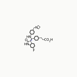 O=C(O)CCc1ccc(/C(Nc2ccc(CN3CCC3)cc2)=C2/C(=O)Nc3cc(F)ccc32)cc1